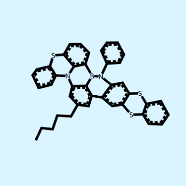 CCCCCc1cc2c3c(c1)N1c4ccccc4Sc4cccc(c41)B3N(c1ccccc1)c1cc3c(cc1-2)Sc1ccccc1S3